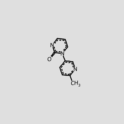 Cc1ccc(-n2cccnc2=O)cn1